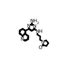 Nc1nc(NCCCN2CCCC2=O)cc(-c2cccc3ncccc23)n1